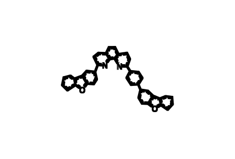 c1ccc2c(c1)oc1ccc(-c3ccc(-c4ccc5ccc6ccc(-c7ccc8oc9ccccc9c8c7)nc6c5n4)cc3)cc12